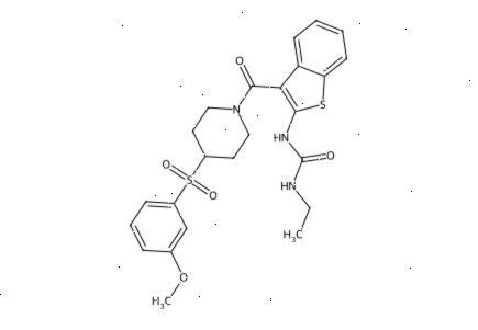 CCNC(=O)Nc1sc2ccccc2c1C(=O)N1CCC(S(=O)(=O)c2cccc(OC)c2)CC1